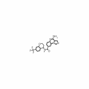 CN(C(=O)c1ccc2nc(N)c3cncn3c2c1)[C@@H]1CCOc2cc(C(F)(F)F)ccc21